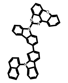 c1ccc2c(c1)Oc1cccc3nc(-n4c5ccccc5c5cc(-c6ccc7c8ccccc8n(-c8cccc9ccccc89)c7c6)ccc54)nc-2c13